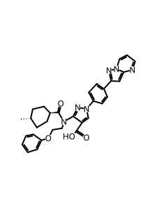 C[C@H]1CC[C@H](C(=O)N(CCOc2ccccc2)c2nn(-c3ccc(-c4cc5ncccn5n4)cc3)cc2C(=O)O)CC1